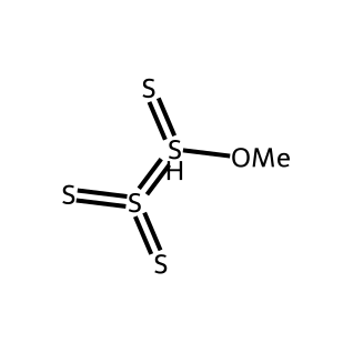 CO[SH](=S)=S(=S)=S